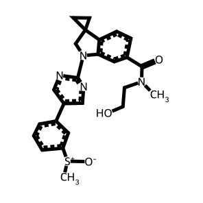 CN(CCO)C(=O)c1ccc2c(c1)N(c1ncc(-c3cccc([S+](C)[O-])c3)cn1)CC21CC1